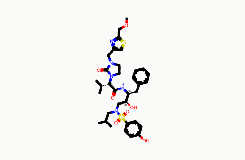 COCc1nc(CN2CCN([C@H](C(=O)N[C@@H](Cc3ccccc3)[C@@H](O)CN(CC(C)C)S(=O)(=O)c3ccc(O)cc3)C(C)C)C2=O)cs1